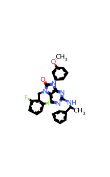 COc1cccc(-n2c(=O)n(Cc3c(F)cccc3F)c3cnc(NC(C)c4ccccc4)nc32)c1